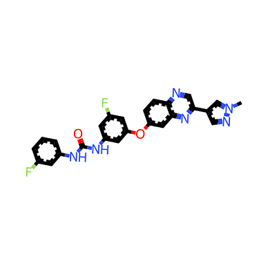 Cn1cc(-c2cnc3ccc(Oc4cc(F)cc(NC(=O)Nc5cccc(F)c5)c4)cc3n2)cn1